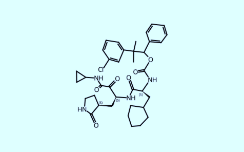 CC(C)(c1cccc(Cl)c1)C(OC(=O)N[C@@H](CC1CCCCC1)C(=O)N[C@@H](C[C@@H]1CCNC1=O)C(=O)C(=O)NC1CC1)c1ccccc1